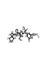 CCc1sc(N(C(C)=O)c2cc(C)nc(P)c2)nc1C(=O)NC1CCC12CCCC2